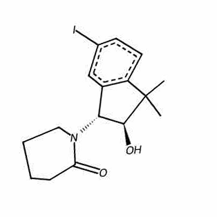 CC1(C)c2ccc(I)cc2[C@@H](N2CCCCC2=O)[C@@H]1O